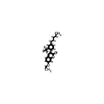 C=COc1ccc2cc(-c3ccc(CCCCC)cc3C(F)(F)F)c(=O)oc2c1